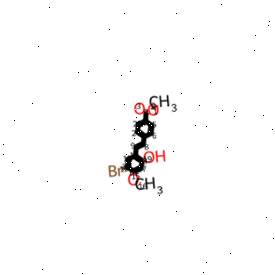 COC(=O)c1ccc(C=Cc2cc(Br)c(OC)cc2O)cc1